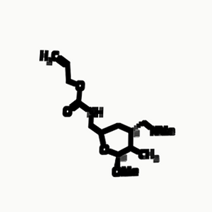 C=CCOC(=O)NCC1C[C@H](CNC)C(C)[C@@H](OC)O1